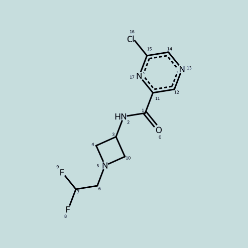 O=C(NC1CN(CC(F)F)C1)c1cncc(Cl)n1